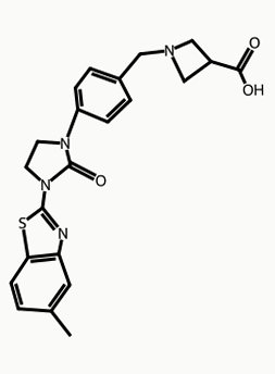 Cc1ccc2sc(N3CCN(c4ccc(CN5CC(C(=O)O)C5)cc4)C3=O)nc2c1